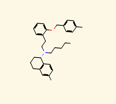 CC(C)c1ccc(COc2ccccc2CCN(CCCCC(=O)O)[C@@H]2CCCc3cc(C(=O)O)ccc32)cc1